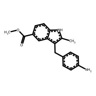 COC(=O)c1ccc2[nH]c(C)c(Cc3ccc(N)cc3)c2c1